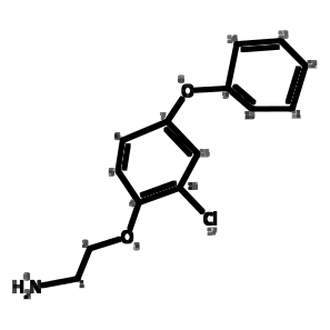 NCCOc1ccc(Oc2ccccc2)cc1Cl